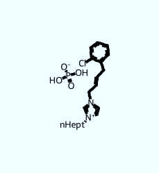 CCCCCCC[n+]1ccn(CC=CCc2ccccc2Cl)c1.O=P([O-])(O)O